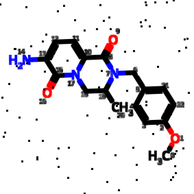 COc1ccc(CN2C(=O)c3ccc(N)c(=O)n3CC2C)cc1